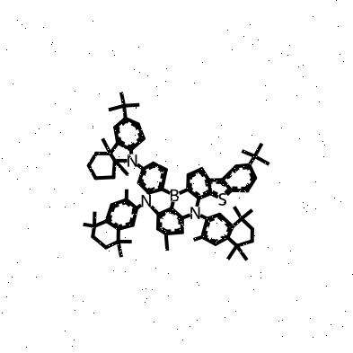 Cc1cc2c3c(c1)N(c1cc4c(cc1C)C(C)(C)CCC4(C)C)c1c(ccc4c1sc1ccc(C(C)(C)C)cc14)B3c1ccc(N3c4ccc(C(C)(C)C)cc4C4(C)CCCCC34C)cc1N2c1cc2c(cc1C)C(C)(C)CCC2(C)C